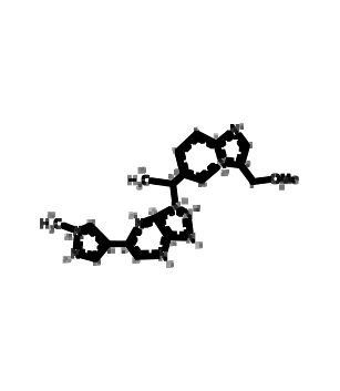 COCc1cnc2ccc(C(C)n3nnc4ncc(-c5cnn(C)c5)nc43)cn12